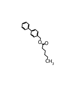 CCCCCC(=O)OCc1ccc(-c2ccccc2)cc1